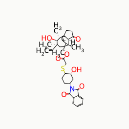 C=C[C@]1(C)C[C@@H](OC(=O)CS[C@@H]2CC[C@@H](N3C(=O)c4ccccc4C3=O)C[C@H]2O)[C@]2(C)C(C)CC[C@]3(CCC(=O)[C@H]32)[C@@H](C)[C@@H]1O